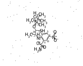 CC(Nc1ccc([N+](=O)[O-])cc1S(N)(=O)=O)C(S)O[Si](C)(C)C(C)(C)C